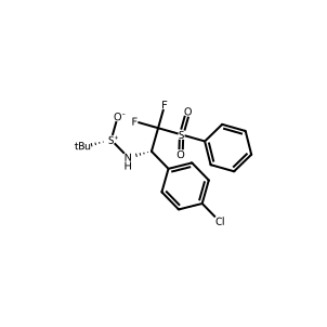 CC(C)(C)[S@+]([O-])N[C@@H](c1ccc(Cl)cc1)C(F)(F)S(=O)(=O)c1ccccc1